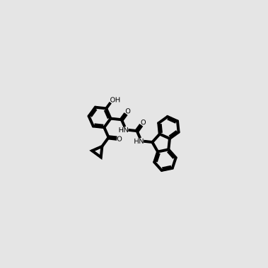 O=C(NC(=O)c1c(O)cccc1C(=O)C1CC1)NC1c2ccccc2-c2ccccc21